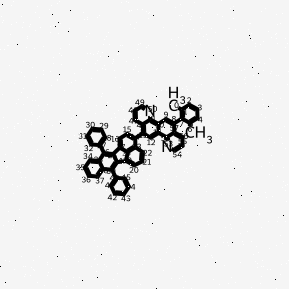 Cc1cccc(C)c1-c1cc2c(cc(-c3ccc4c5c(cccc35)-c3c-4c(-c4ccccc4)c4ccccc4c3-c3ccccc3)c3cccnc32)c2ncccc12